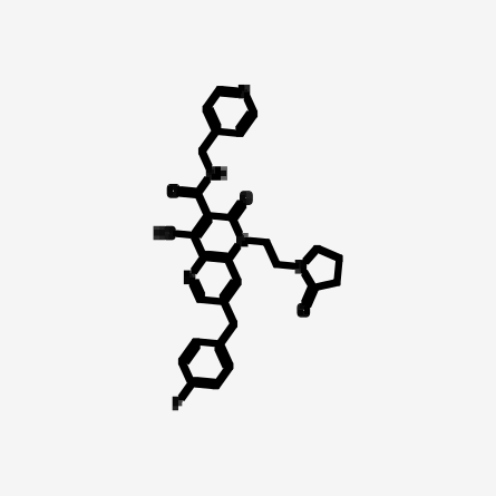 O=C(NCc1ccncc1)c1c(O)c2ncc(Cc3ccc(F)cc3)cc2n(CCN2CCCC2=O)c1=O